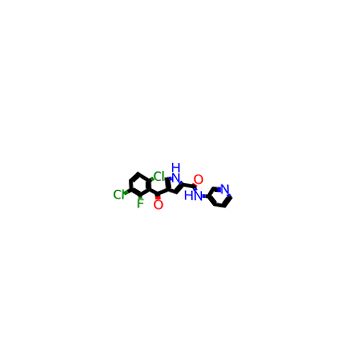 O=C(Nc1cccnc1)c1cc(C(=O)c2c(Cl)ccc(Cl)c2F)c[nH]1